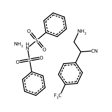 N.N#CC(CN)c1ccc(C(F)(F)F)cc1.O=S(=O)(NS(=O)(=O)c1ccccc1)c1ccccc1